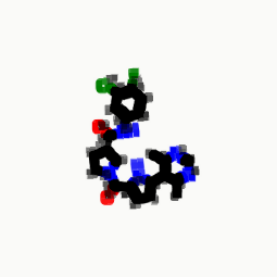 Cc1ncnc(C)c1-c1ccc(C(=O)N2CC[C@H](C(=O)Nc3ccc(F)c(Cl)c3)C2)[nH]1